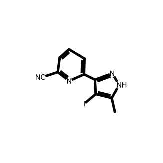 Cc1[nH]nc(-c2cccc(C#N)n2)c1I